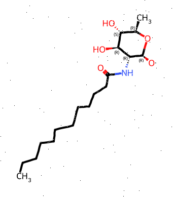 CCCCCCCCCCCC(=O)N[C@@H]1[C@@H](O)[C@H](O)[C@@H](C)O[C@H]1[O]